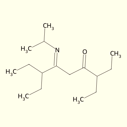 CCC(CC)C(=O)CC(=NC(C)C)C(CC)CC